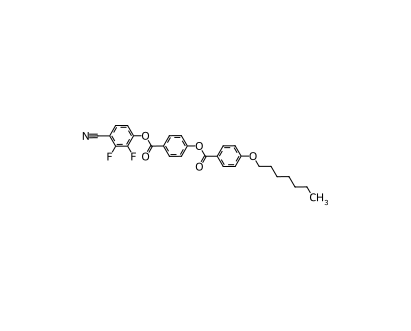 CCCCCCCOc1ccc(C(=O)Oc2ccc(C(=O)Oc3ccc(C#N)c(F)c3F)cc2)cc1